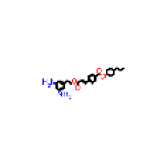 CCCC1CCC(OC(=O)c2ccc(/C=C/C(=O)OCCc3cc(N)cc(N)c3)cc2)CC1